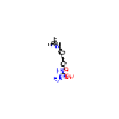 CC1(C)[C@@H]2C[C@@H](NCc3ccc(C#Cc4ccc(C(=O)N[C@@H](CN)C(=O)NO)cc4)cc3)C[C@H]1C2